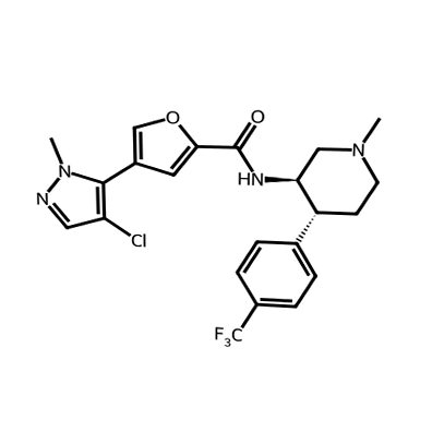 CN1CC[C@H](c2ccc(C(F)(F)F)cc2)[C@@H](NC(=O)c2cc(-c3c(Cl)cnn3C)co2)C1